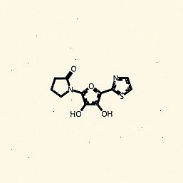 O=C1CCCN1c1oc(-c2nccs2)c(O)c1O